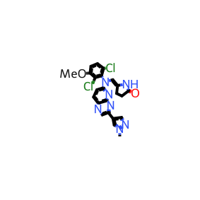 COc1ccc(Cl)c(N(/C=C2\CCC(=O)N2)c2ccc3ncc(-c4cnn(C)c4)nc3n2)c1Cl